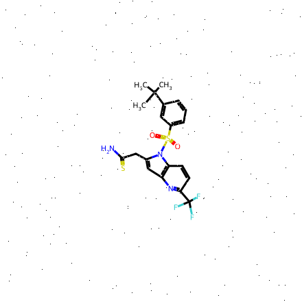 CC(C)(C)c1cccc(S(=O)(=O)n2c(CC(N)=S)cc3nc(C(F)(F)F)ccc32)c1